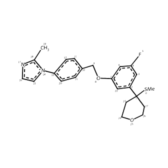 CSC1(c2cc(F)cc(OCc3ccc(-n4ccnc4C)cc3)c2)CCOCC1